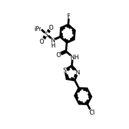 CC(C)S(=O)(=O)Nc1cc(F)ccc1C(=O)Nc1nc(-c2ccc(Cl)cc2)cs1